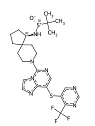 CC(C)(C)[S@@+]([O-])N[C@@H]1CCCC12CCN(c1ncc(Sc3cncnc3C(F)(F)F)c3nccn13)CC2